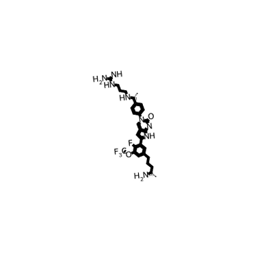 C[C@H](N)CCCc1cc(OC(F)(F)F)c(F)c(-c2cc3cn(-c4ccc([C@@H](C)NCCCNC(=N)N)cc4)c(=O)nc3[nH]2)c1